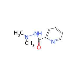 CN(C)NC(=O)c1ccccn1